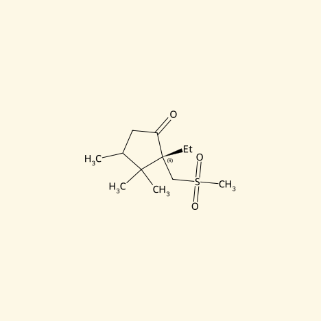 CC[C@]1(CS(C)(=O)=O)C(=O)CC(C)C1(C)C